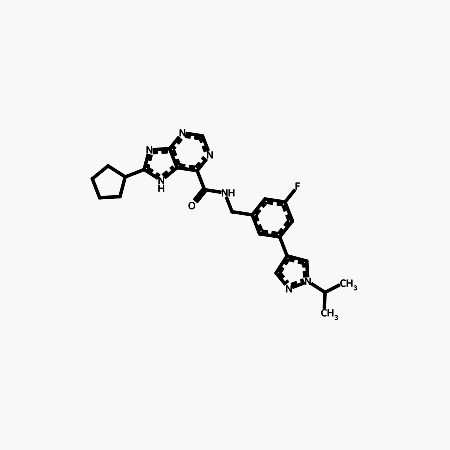 CC(C)n1cc(-c2cc(F)cc(CNC(=O)c3ncnc4nc(C5CCCC5)[nH]c34)c2)cn1